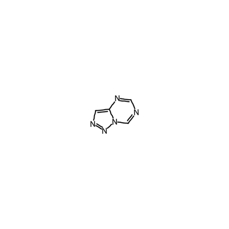 c1ncn2nncc2n1